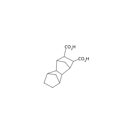 O=C(O)C1C2CC(C1C(=O)O)C1C3CCC(C3)C21